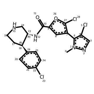 Cn1ncc(Cl)c1-c1cc(C(=O)N[C@H]2CNCC[C@@H]2c2ccc(Cl)cc2)oc1Cl